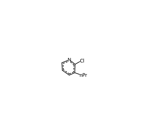 [CH2]CCc1cccnc1Cl